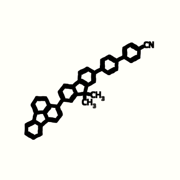 CC1(C)c2cc(-c3ccc(-c4ccc(C#N)cc4)cc3)ccc2-c2ccc(-c3ccc4c5c(cccc35)-c3ccccc3-4)cc21